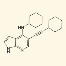 C(#CC1CCCCC1)c1cnc2[nH]ccc2c1NC1CCCCC1